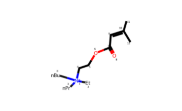 CCCC[N+](CC)(CCC)CCOC(=O)C=C(C)C